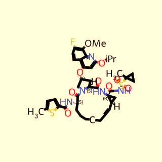 COc1c(F)ccc2c(O[C@@H]3C[C@H]4C(=O)N[C@]5(C(=O)NS(=O)(=O)C6(C)CC6)C[C@H]5C=CCCCCC[C@H](NC(=O)c5ccc(C)s5)C(=O)N4C3)cc(OC(C)C)nc12